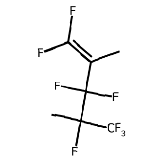 CC(=C(F)F)C(F)(F)C(C)(F)C(F)(F)F